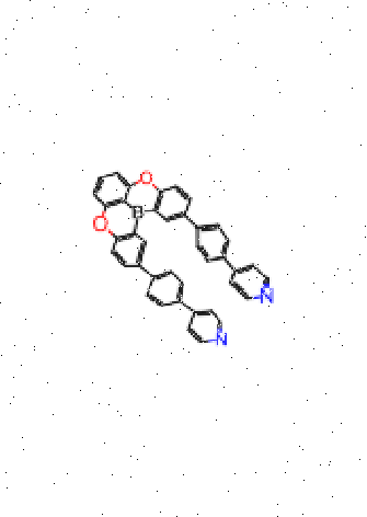 c1cc2c3c(c1)Oc1ccc(-c4ccc(-c5ccncc5)cc4)cc1B3c1cc(-c3ccc(-c4ccncc4)cc3)ccc1O2